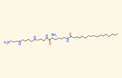 CCCCCCCCCCCCCCCCC(=O)NCCCC[C@@H](N)C(=O)NCCCNCCCCNCCCN